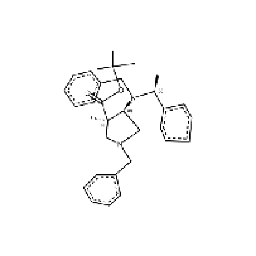 C[C@@H](c1ccccc1)N(Cc1ccccc1)[C@H]1CN(Cc2ccccc2)C[C@@]1(C)C(=O)OC(C)(C)C